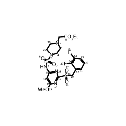 CCOC(=O)CN1CCN(S(=O)(=O)Nc2cc(OC)nc(S(=O)(=O)Cc3cccc(F)c3F)n2)CC1